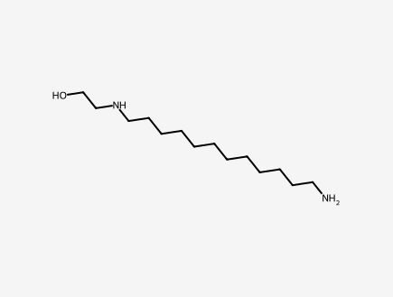 NCCCCCCCCCCCCNCCO